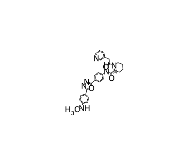 CNc1ccc(-c2nnc(-c3ccc(NC(=O)[C@@H]4CCCCN4C(=O)Cc4cccnc4)cc3)o2)cc1